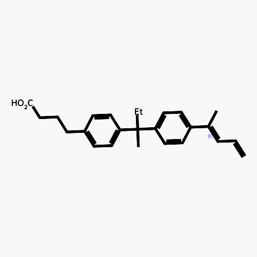 C=C/C=C(\C)c1ccc(C(C)(CC)c2ccc(CCCC(=O)O)cc2)cc1